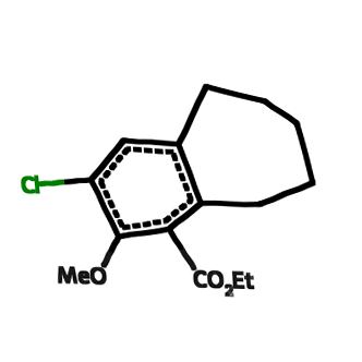 CCOC(=O)c1c2c(cc(Cl)c1OC)CCCCC2